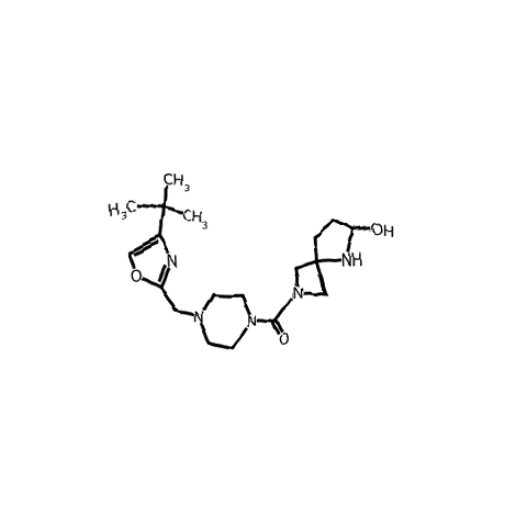 CC(C)(C)c1coc(CN2CCN(C(=O)N3CC4(CCC(O)N4)C3)CC2)n1